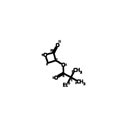 CCC(C)(C)C(=O)OC1COC1=O